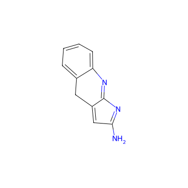 NC1=NC2=Nc3ccccc3CC2=C1